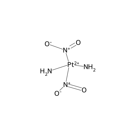 [NH2][Pt+2]([NH2])([N+](=O)[O-])[N+](=O)[O-]